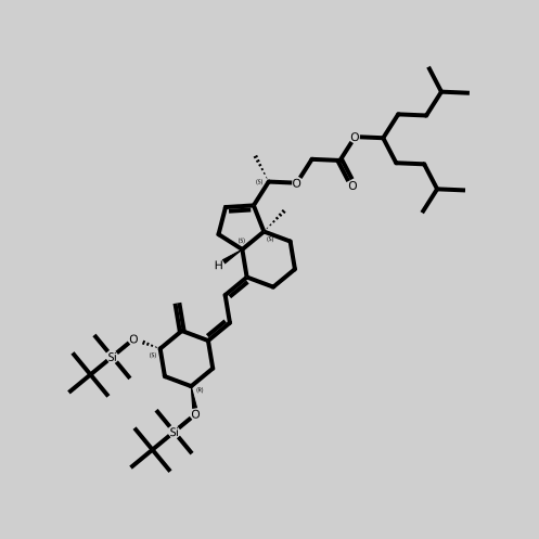 C=C1C(=CC=C2CCC[C@]3(C)C([C@H](C)OCC(=O)OC(CCC(C)C)CCC(C)C)=CC[C@@H]23)C[C@@H](O[Si](C)(C)C(C)(C)C)C[C@@H]1O[Si](C)(C)C(C)(C)C